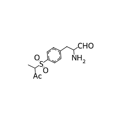 CC(=O)C(C)S(=O)(=O)c1ccc(CC(N)C=O)cc1